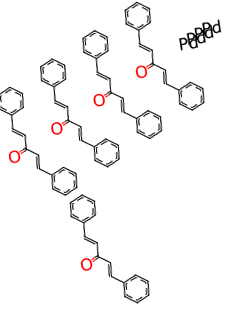 O=C(C=Cc1ccccc1)C=Cc1ccccc1.O=C(C=Cc1ccccc1)C=Cc1ccccc1.O=C(C=Cc1ccccc1)C=Cc1ccccc1.O=C(C=Cc1ccccc1)C=Cc1ccccc1.O=C(C=Cc1ccccc1)C=Cc1ccccc1.[Pd].[Pd].[Pd].[Pd]